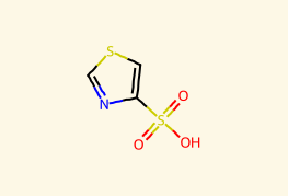 O=S(=O)(O)c1cscn1